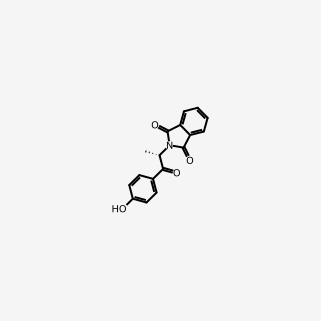 C[C@@H](C(=O)c1ccc(O)cc1)N1C(=O)c2ccccc2C1=O